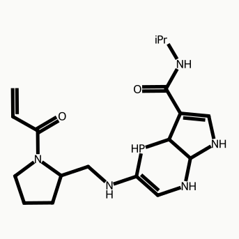 C=CC(=O)N1CCCC1CNC1=CNC2NC=C(C(=O)NC(C)C)C2P1